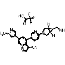 Cn1cc(-c2cc(-c3ccc(N4C[C@@H]5C(CN)[C@@H]5C4)nc3)c3c(C#N)cnn3c2)cn1.O=C(O)C(F)(F)F